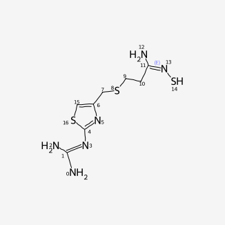 NC(N)=Nc1nc(CSCC/C(N)=N\S)cs1